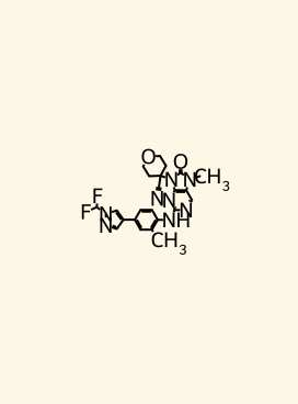 Cc1cc(-c2cnn(C(F)F)c2)ccc1Nc1ncc2c(n1)n(C1(C#N)CCOCC1)c(=O)n2C